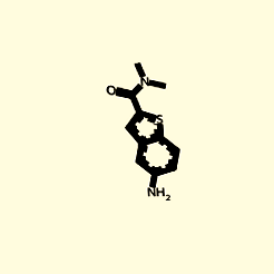 CN(C)C(=O)c1cc2cc(N)ccc2s1